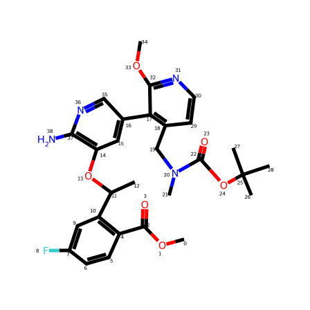 COC(=O)c1ccc(F)cc1C(C)Oc1cc(-c2c(CN(C)C(=O)OC(C)(C)C)ccnc2OC)cnc1N